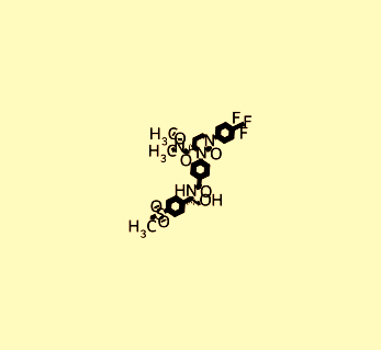 CCS(=O)(=O)c1ccc([C@H](CO)NC(=O)c2ccc(N3C(=O)N(c4ccc(C(F)(F)F)cc4)CC[C@H]3C(=O)N(C)OC)cc2)cc1